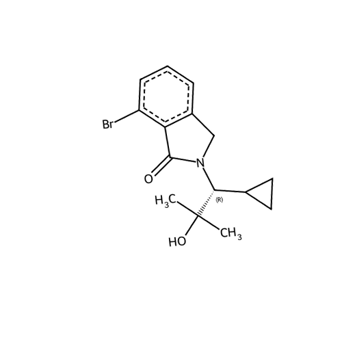 CC(C)(O)[C@@H](C1CC1)N1Cc2cccc(Br)c2C1=O